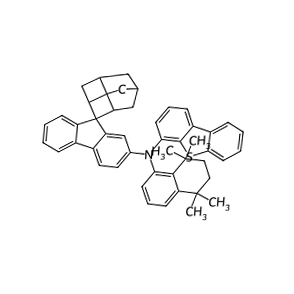 CC1(C)CCC(C)(C)c2c(N(c3ccc4c(c3)C3(c5ccccc5-4)C4CC5CC6CC3C64C5)c3cccc4c3sc3ccccc34)cccc21